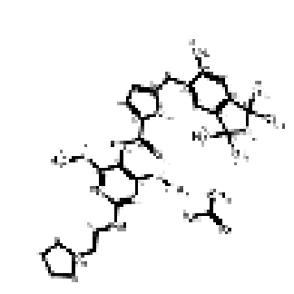 CC(=O)O.COc1nc(NCCN2CCCC2)nc(OC)c1NC(=O)c1ccc(Cc2cc3c(cc2C)C(C)(C)OC3(C)C)o1